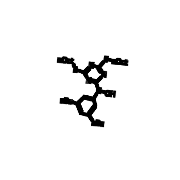 CCCCCCCCSc1nc(SCCCCCCCC)nc(N(O)c2cc(CCCC)cc(CCCC)c2)n1